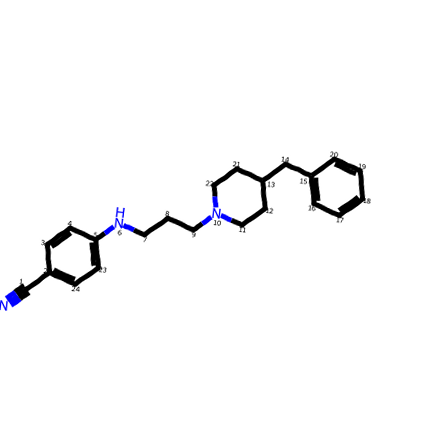 N#Cc1ccc(NCCCN2CCC(Cc3ccccc3)CC2)cc1